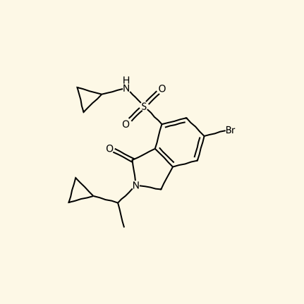 CC(C1CC1)N1Cc2cc(Br)cc(S(=O)(=O)NC3CC3)c2C1=O